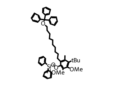 COc1c(OO[SiH](c2ccccc2)c2ccccc2)c(CCCCCCCCCCOC(c2ccccc2)(c2ccccc2)c2ccccc2)c(C)c(C(C)(C)C)c1OC